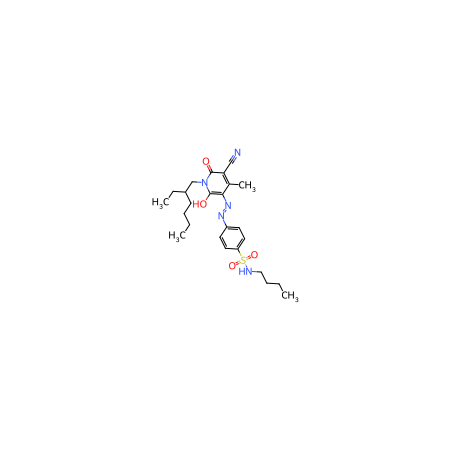 CCCCNS(=O)(=O)c1ccc(/N=N/c2c(C)c(C#N)c(=O)n(CC(CC)CCCC)c2O)cc1